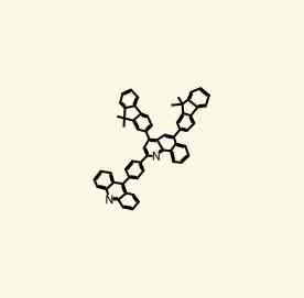 CC1(C)c2ccccc2-c2ccc(-c3cc4c(-c5ccc6c(c5)C(C)(C)c5ccccc5-6)cc(-c5ccc(-c6c7ccccc7nc7ccccc67)cc5)nc4c4ccccc34)cc21